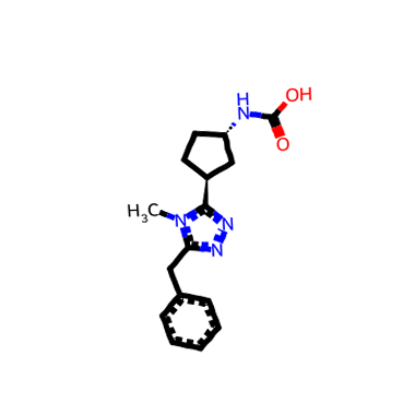 Cn1c(Cc2ccccc2)nnc1[C@H]1CC[C@H](NC(=O)O)C1